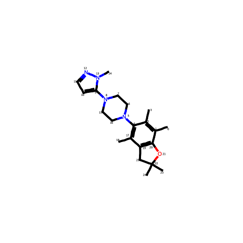 Cc1c(C)c(N2CCN(c3ccnn3C)CC2)c(C)c2c1OC(C)(C)C2